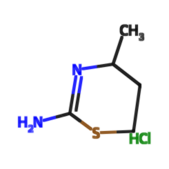 CC1CCSC(N)=N1.Cl